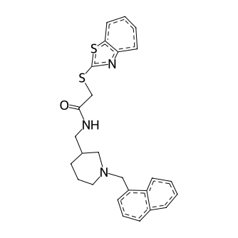 O=C(CSc1nc2ccccc2s1)NCC1CCCN(Cc2cccc3ccccc23)C1